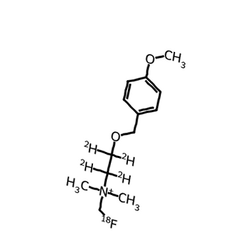 [2H]C([2H])(OCc1ccc(OC)cc1)C([2H])([2H])[N+](C)(C)C[18F]